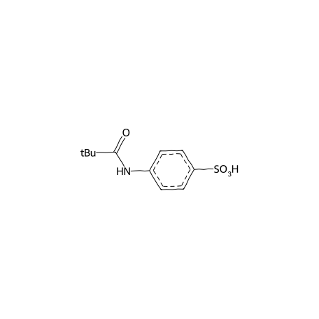 CC(C)(C)C(=O)Nc1ccc(S(=O)(=O)O)cc1